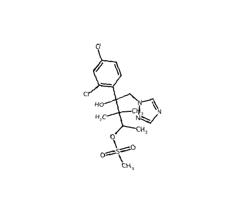 CC(OS(C)(=O)=O)C(C)(C)C(O)(Cn1cncn1)c1ccc(Cl)cc1Cl